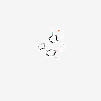 Cc1ccc(C2=CCC=C2c2cc(F)c(S(C)(=O)=O)c(F)c2)cc1OC(F)(F)F